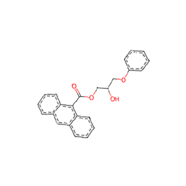 O=C(OCC(O)COc1ccccc1)c1c2ccccc2cc2ccccc12